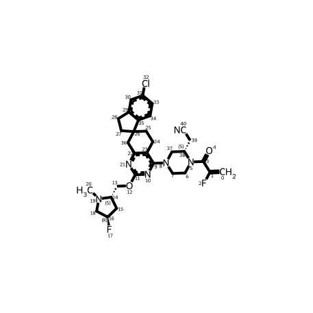 C=C(F)C(=O)N1CCN(c2nc(OC[C@@H]3C[C@@H](F)CN3C)nc3c2CCC2(CCc4cc(Cl)ccc42)C3)C[C@@H]1CC#N